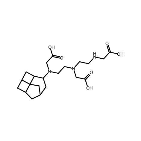 O=C(O)CNCCN(CCN(CC(=O)O)C1CC2CC3CC4CC1C34C2)CC(=O)O